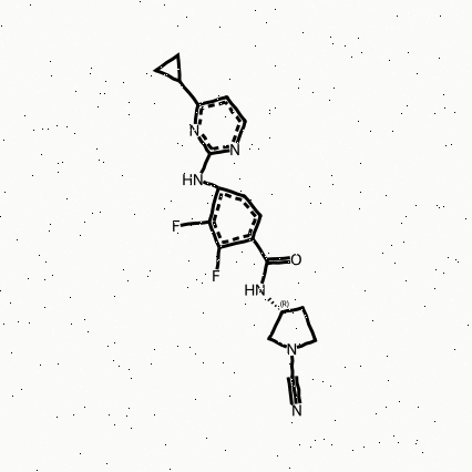 N#CN1CC[C@@H](NC(=O)c2ccc(Nc3nccc(C4CC4)n3)c(F)c2F)C1